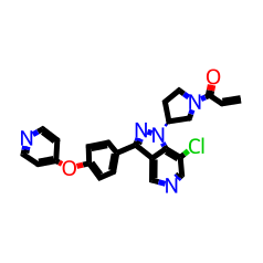 C=CC(=O)N1CC[C@@H](n2nc(-c3ccc(Oc4ccncc4)cc3)c3cncc(Cl)c32)C1